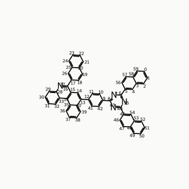 c1ccc2cc(-c3nc(-c4ccc(-c5cc6c(-c7ccc8ccccc8c7)nc7ccccc7c6c6ccccc56)cc4)nc(-c4ccc5ccccc5c4)n3)ccc2c1